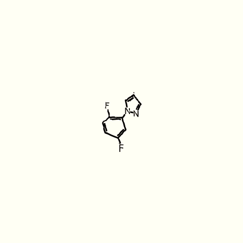 Fc1ccc(F)c(-n2c[c]cn2)c1